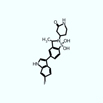 C[C@@H]1c2cc(-c3c[nH]c4cc(F)ccc34)ccc2S(O)(O)N1C1CCNC(=O)C1